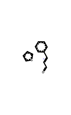 O=C/C=C/c1ccccc1.c1ccsc1